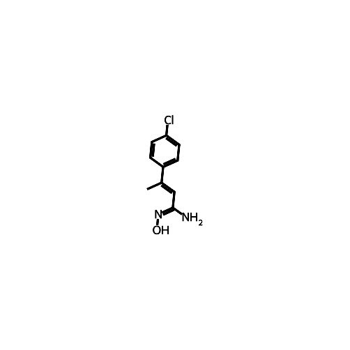 CC(=CC(N)=NO)c1ccc(Cl)cc1